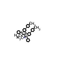 C=CC1=C2B(c3cc(-c4ccc(C)cc4)ccc3N1c1ccccc1)c1cc(-c3ccc(C)cc3)ccc1N(c1ccccc1)/C2=C/C